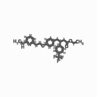 CCOC(=O)CC(Cc1ccc(OCCc2cccc(NC)n2)cc1)c1ccc(C(F)(F)F)cc1